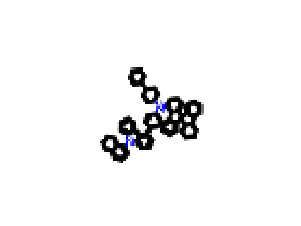 c1ccc(-c2ccc(N(c3ccc(-c4cccc5c4c4ccccc4n5-c4cccc5ccccc45)cc3)c3cccc4c3-c3ccccc3C43c4ccccc4-c4ccccc43)cc2)cc1